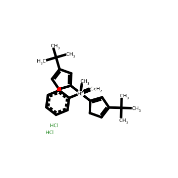 CC(C)(C)C1=CC[C]([Hf]([CH3])(=[GeH2])([C]2=CC(C(C)(C)C)=CC2)[c]2ccccc2)=C1.Cl.Cl